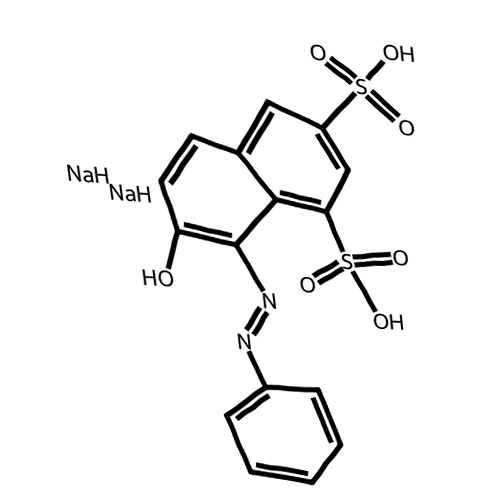 O=S(=O)(O)c1cc(S(=O)(=O)O)c2c(N=Nc3ccccc3)c(O)ccc2c1.[NaH].[NaH]